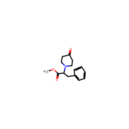 COC(=O)C(Cc1ccccc1)N1CCC(=O)CC1